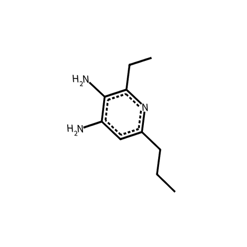 CCCc1cc(N)c(N)c(CC)n1